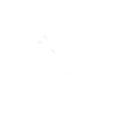 CC(=O)CCn1cnnc1